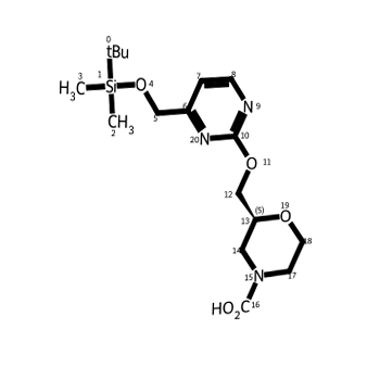 CC(C)(C)[Si](C)(C)OCc1ccnc(OC[C@@H]2CN(C(=O)O)CCO2)n1